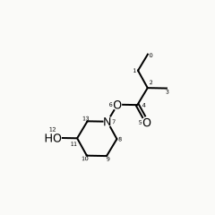 CCC(C)C(=O)ON1CCCC(O)C1